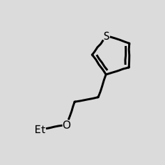 CCOCCc1ccsc1